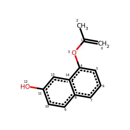 C=C(C)Oc1cccc2ccc(O)cc12